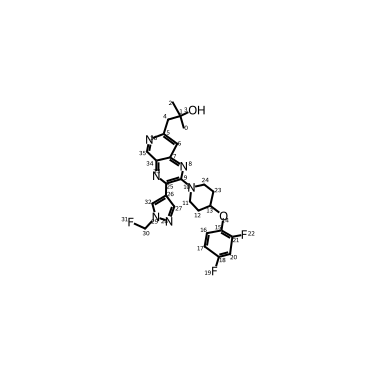 CC(C)(O)Cc1cc2nc(N3CCC(Oc4ccc(F)cc4F)CC3)c(-c3cnn(CF)c3)nc2cn1